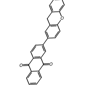 O=C1c2ccccc2C(=O)c2cc(-c3ccc4c(c3)Cc3ccccc3O4)ccc21